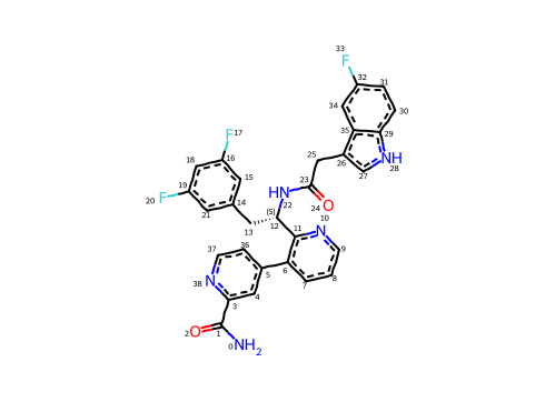 NC(=O)c1cc(-c2cccnc2[C@H](Cc2cc(F)cc(F)c2)NC(=O)Cc2c[nH]c3ccc(F)cc23)ccn1